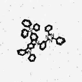 c1ccc(-c2nc(-c3ccccc3)nc(-c3cccc(-n4c5ccc([Si](c6ccccc6)(c6ccccc6)c6ccccc6)cc5c5cc6c7ccccc7n(-c7ccccc7)c6cc54)c3)n2)cc1